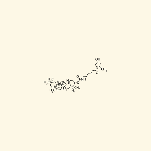 C[C@@H]1C[C@@H](O)CN1C(=O)CCCCCNC(=O)O[C@H]1CC[C@@H]2[C@](C)(CC[C@H]3[C@@]2(C)CC[C@@]2(C)[C@@H]4CC(C)(C)CC[C@]4(C)CC[C@]32C)[C@H]1C